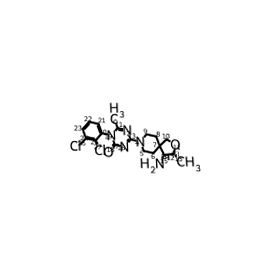 Cc1nc(N2CCC3(CC2)CO[C@@H](C)[C@H]3N)nc(=O)n1-c1cccc(Cl)c1Cl